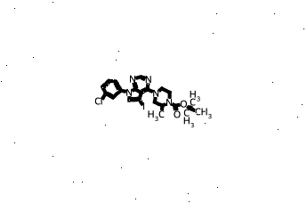 CC1CN(c2ncnc3c2c(I)cn3-c2cccc(Cl)c2)CCN1C(=O)OC(C)(C)C